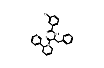 O=C(NC(Cc1ccccc1)C(=O)N1CC=CCC1c1cccnc1)c1cccc(Cl)c1